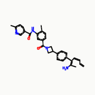 C=C/C=C\C(=C(/C)N)c1ccc(C2CN(C(=O)c3ccc(C)c(NC(=O)c4ccc(C)nc4)c3)C2)cc1